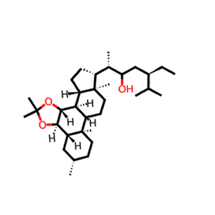 CC[C@H](CC(O)[C@@H](C)[C@H]1CC[C@H]2[C@@H]3[C@H]4OC(C)(C)O[C@@H]4[C@H]4C[C@@H](C)CC[C@]4(C)[C@H]3CC[C@]12C)C(C)C